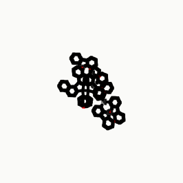 c1ccc(C2(C3(c4ccccc4)c4ccc5ccccc5c4-c4c3cc(N(c3cccc5c3oc3ccccc35)c3cccc5c3oc3ccccc35)c3ccccc43)c3ccc4ccccc4c3-c3c2cc(N(c2cccc4c2oc2ccccc24)c2cccc4c2oc2ccccc24)c2ccccc32)cc1